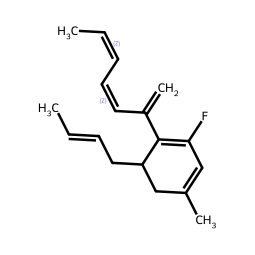 C=C(/C=C\C=C/C)C1=C(F)C=C(C)CC1CC=CC